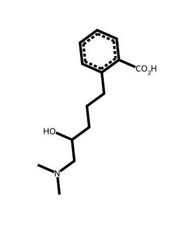 CN(C)CC(O)CCCc1ccccc1C(=O)O